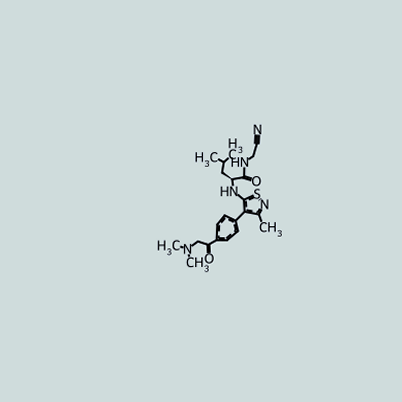 Cc1nsc(N[C@@H](CC(C)C)C(=O)NCC#N)c1-c1ccc(C(=O)CN(C)C)cc1